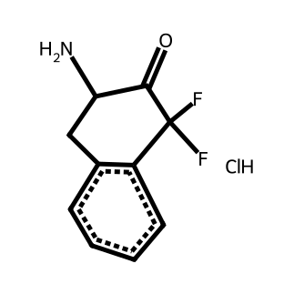 Cl.NC1Cc2ccccc2C(F)(F)C1=O